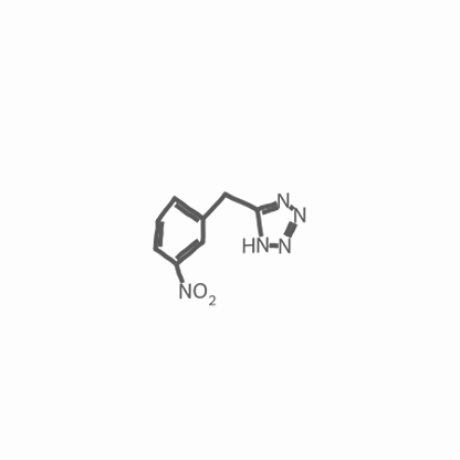 O=[N+]([O-])c1cccc(Cc2nnn[nH]2)c1